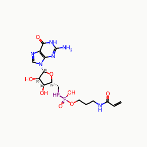 C=CC(=O)NCCCOP(=O)(O)PC[C@H]1O[C@@H](n2cnc3c(=O)[nH]c(N)nc32)[C@H](O)[C@@H]1O